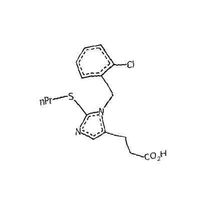 CCCSc1ncc(CCC(=O)O)n1Cc1ccccc1Cl